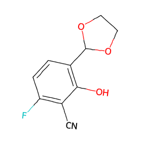 N#Cc1c(F)ccc(C2OCCO2)c1O